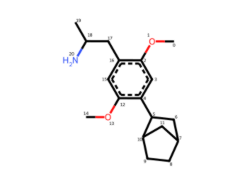 COc1cc(C2CC3CCC2C3)c(OC)cc1CC(C)N